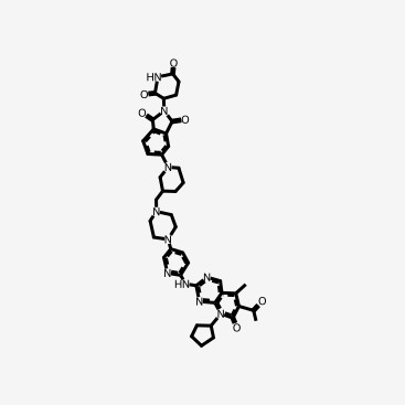 CC(=O)c1c(C)c2cnc(Nc3ccc(N4CCN(CC5CCCN(c6ccc7c(c6)C(=O)N(C6CCC(=O)NC6=O)C7=O)C5)CC4)cn3)nc2n(C2CCCC2)c1=O